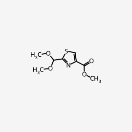 COC(=O)c1csc(C(OC)OC)n1